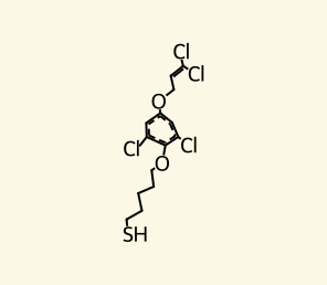 SCCCCCOc1c(Cl)cc(OCC=C(Cl)Cl)cc1Cl